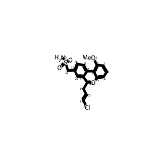 COc1cccc2c1-c1ccc(CS(N)(=O)=O)cc1C(CC=CCl)O2